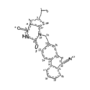 CCc1cc2c(=O)[nH]c(=O)n(Cc3ccc(-c4ccccc4C#N)c(F)c3)c2s1